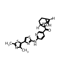 Cc1nc(C)c(-c2csc(Nc3ccc(C(=O)N4[C@H]5CCC6[C@@H]4[C@H]6OC5)cn3)n2)s1